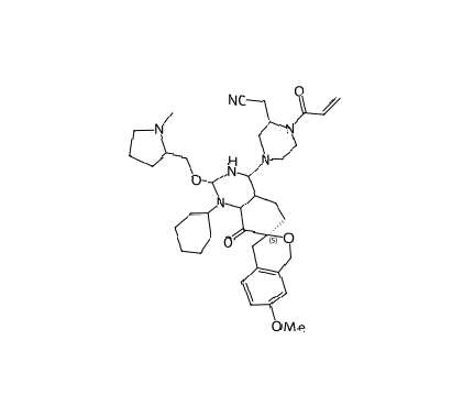 C=CC(=O)N1CCN(C2NC(OCC3CCCN3C)N(C3CCCCC3)C3C(=O)[C@]4(CCC23)Cc2ccc(OC)cc2CO4)CC1CC#N